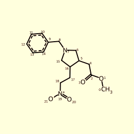 COC(=O)CC1CN(Cc2ccccc2)CC1CC[N+](=O)[O-]